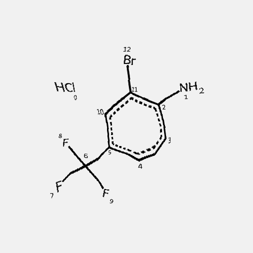 Cl.Nc1ccc(C(F)(F)F)cc1Br